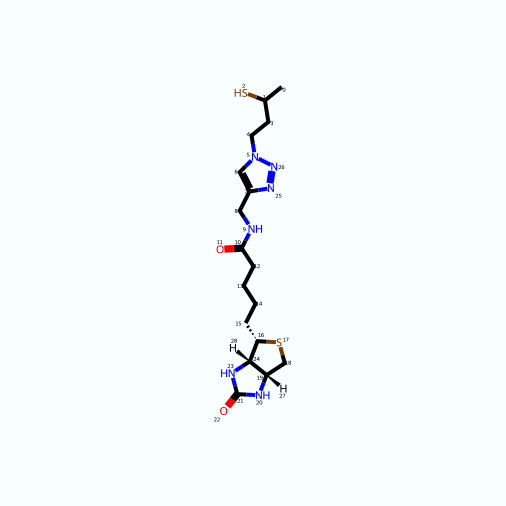 CC(S)CCn1cc(CNC(=O)CCCC[C@@H]2SC[C@@H]3NC(=O)N[C@@H]32)nn1